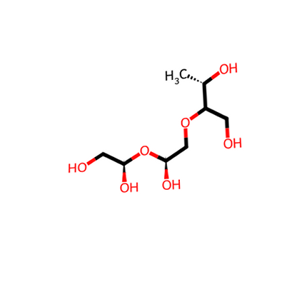 C[C@H](O)C(CO)OC[C@@H](O)O[C@@H](O)CO